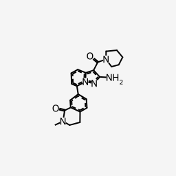 CN1CCc2ccc(-c3cccc4c(C(=O)N5CCCCC5)c(N)nn34)cc2C1=O